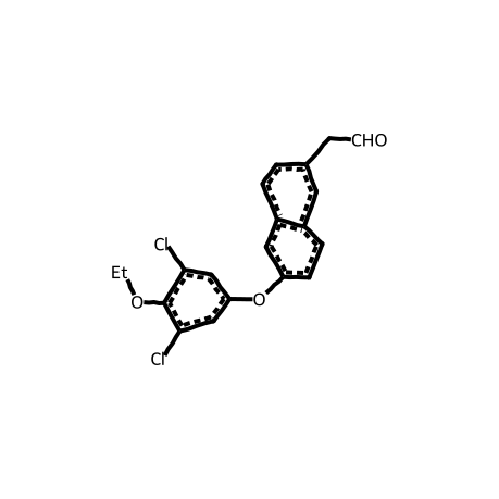 CCOc1c(Cl)cc(Oc2ccc3cc(CC=O)ccc3c2)cc1Cl